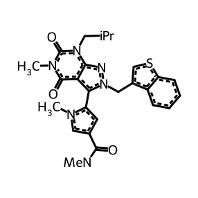 CNC(=O)c1cc(-c2c3c(=O)n(C)c(=O)n(CC(C)C)c3nn2Cc2csc3ccccc23)n(C)c1